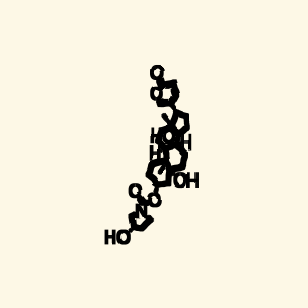 C[C@]12CC[C@H](OC(=O)N3CC[C@H](O)C3)C[C@@]1(O)CC[C@@H]1[C@@H]2CC[C@]2(C)[C@@H](c3ccc(=O)oc3)CC[C@]12O